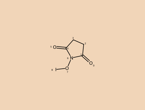 O=C1CCC(=O)N1OI